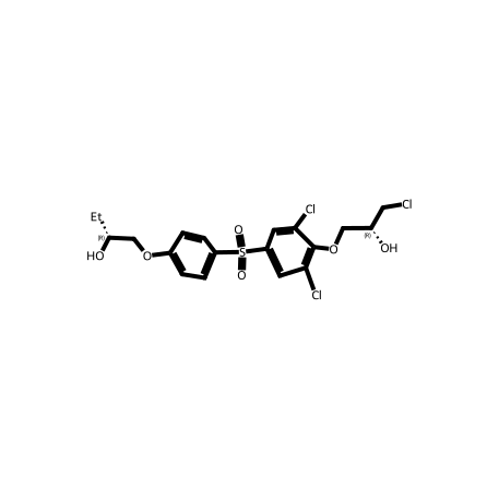 CC[C@@H](O)COc1ccc(S(=O)(=O)c2cc(Cl)c(OC[C@@H](O)CCl)c(Cl)c2)cc1